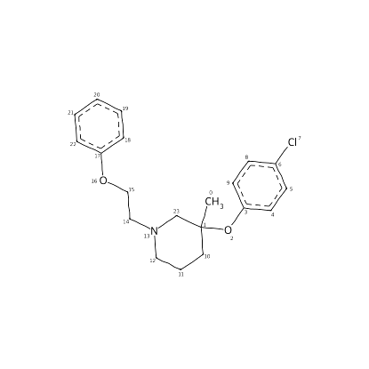 CC1(Oc2ccc(Cl)cc2)CCCN(CCOc2ccccc2)C1